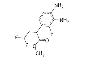 COC(=O)C(CC(F)F)c1ccc(N)c(N)c1F